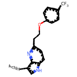 CC(=O)Nc1c[nH]c2ccc(CCOc3ccc(C(F)(F)F)cc3)nc12